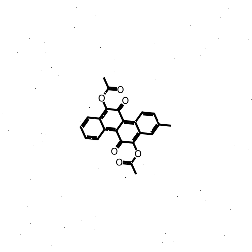 CC(=O)OC1=c2ccccc2=C2C(=O)C(OC(C)=O)=c3cc(C)ccc3=C2C1=O